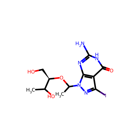 CC(O)[C@@H](CO)OC(C)n1nc(I)c2c(=O)[nH]c(N)nc21